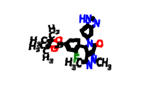 Cc1nn(C)c2c1C(c1ccc(B3OC(C)(C)C(C)(C)O3)cc1F)N(c1ccc3[nH]cnc3c1)C2=O